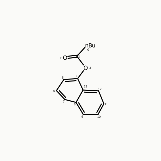 CCCCC(=O)Oc1cccc2ccccc12